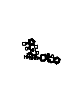 O=C(NC1CCN(P2(=O)OCc3ccccc3O2)CC1)c1n[nH]cc1NC(=O)c1c(Cl)cccc1Cl